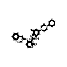 Cc1cc(N2CCN(C3CCCCC3)CC2)cc2[nH]c(-c3c(N[C@H](CO)Cc4ccccc4)cc[nH]c3=O)nc12